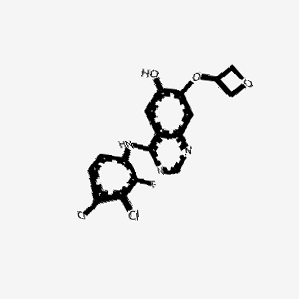 Oc1cc2c(Nc3ccc(Cl)c(Cl)c3F)ncnc2cc1OC1COC1